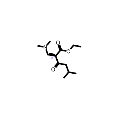 CCOC(=O)/C(=C\N(C)C)C(=O)CC(C)C